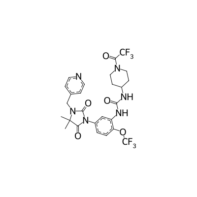 CC1(C)C(=O)N(c2ccc(OC(F)(F)F)c(NC(=O)NC3CCN(C(=O)C(F)(F)F)CC3)c2)C(=O)N1Cc1ccncc1